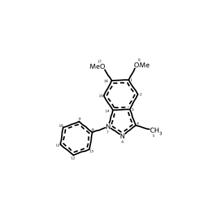 COc1cc2c(C)nn(-c3ccccc3)c2cc1OC